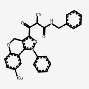 CC(C)(C)c1ccc2c(c1)-c1c(c(C(=O)C(C#N)C(=O)NCc3ccccc3)nn1-c1ccccc1)CO2